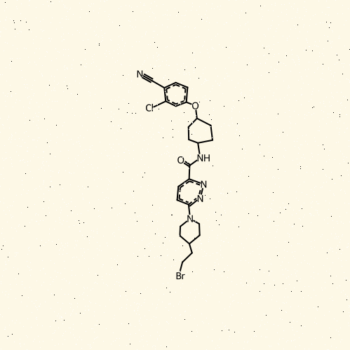 N#Cc1ccc(OC2CCC(NC(=O)c3ccc(N4CCC(CCBr)CC4)nn3)CC2)cc1Cl